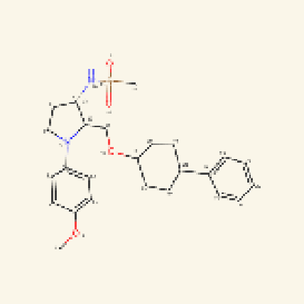 COc1ccc(N2CC[C@H](NS(C)(=O)=O)C2COC2CCC(c3ccccc3)CC2)cc1